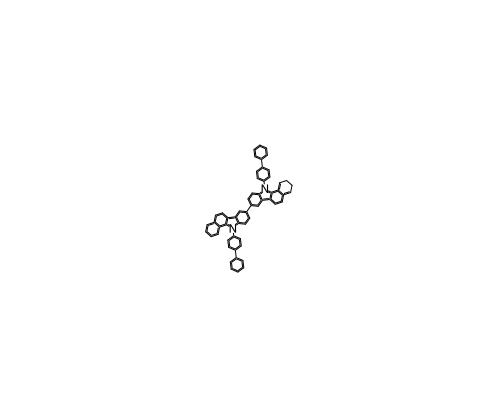 C1=c2ccc3c4cc(-c5ccc6c(c5)c5ccc7ccccc7c5n6-c5ccc(-c6ccccc6)cc5)ccc4n(-c4ccc(-c5ccccc5)cc4)c3c2=CCC1